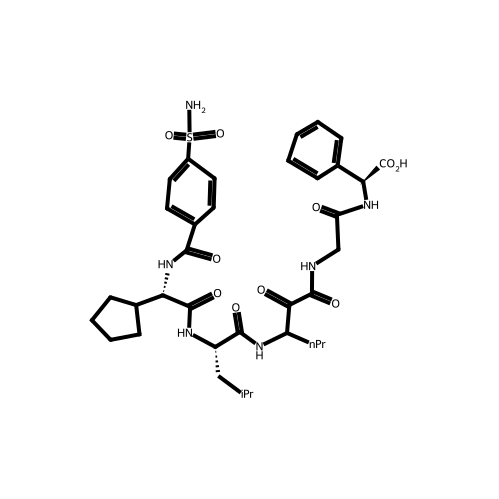 CCCC(NC(=O)[C@H](CC(C)C)NC(=O)[C@@H](NC(=O)c1ccc(S(N)(=O)=O)cc1)C1CCCC1)C(=O)C(=O)NCC(=O)N[C@H](C(=O)O)c1ccccc1